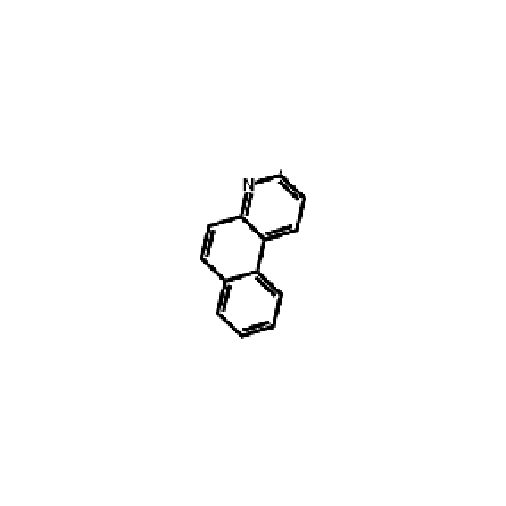 [c]1ccc2c(ccc3ccccc32)n1